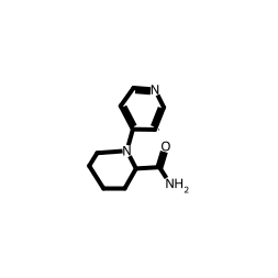 NC(=O)C1CCCCN1c1[c]cncc1